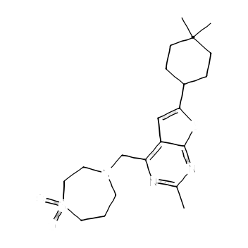 Cc1nc(CN2CCCS(=O)(=O)CC2)c2cc(C3CCC(C)(C)CC3)sc2n1